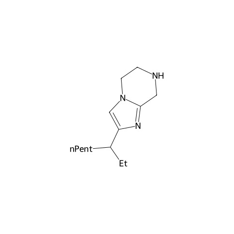 CCCCCC(CC)c1cn2c(n1)CNCC2